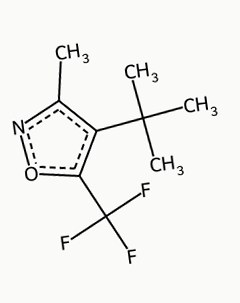 Cc1noc(C(F)(F)F)c1C(C)(C)C